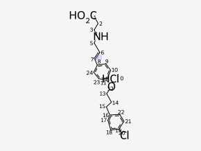 Cl.O=C(O)CCNC/C=C/c1ccc(OCCCc2ccc(Cl)cc2)cc1